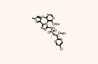 COc1ncnc(OC)c1-n1c(NS(=O)(=O)[C@@H](C)[C@@H](OC(C)C)c2ncc(Cl)cn2)nnc1-c1ccn(C)n1